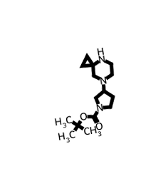 CC(C)(C)OC(=O)N1CCC(N2CCNC3(CC3)C2)C1